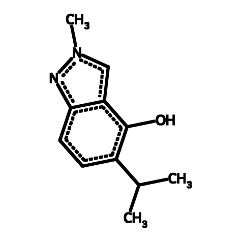 CC(C)c1ccc2nn(C)cc2c1O